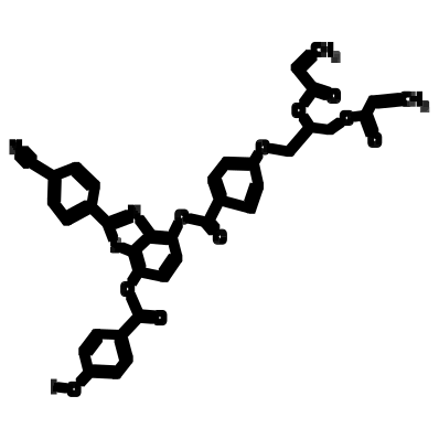 C=CC(=O)OCC(COc1ccc(C(=O)Oc2ccc(OC(=O)c3ccc(OI)cc3)c3sc(-c4ccc(C#N)cc4)nc23)cc1)OC(=O)C=C